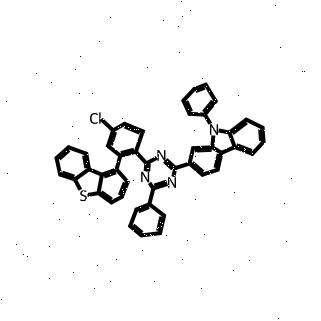 Clc1ccc(-c2nc(-c3ccccc3)nc(-c3ccc4c5ccccc5n(-c5ccccc5)c4c3)n2)c(-c2cccc3sc4ccccc4c23)c1